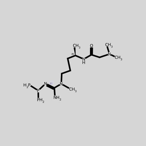 C[C@H](CCCN(C)/C(N)=N/P(P)P)NC(=O)CN(C)C